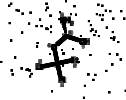 CCC(CC)(CC)O[C@H](N)O